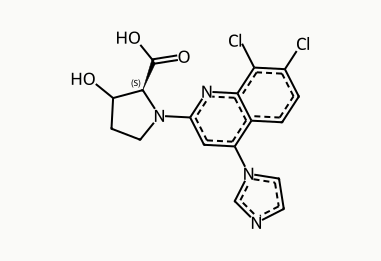 O=C(O)[C@@H]1C(O)CCN1c1cc(-n2ccnc2)c2ccc(Cl)c(Cl)c2n1